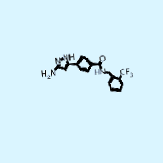 Nc1cc(-c2ccc(C(=O)NCc3ccccc3C(F)(F)F)cc2)[nH]n1